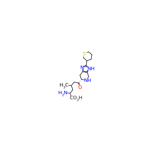 CC(CC(=O)[C@@H]1Cc2nc(C3CCCSC3)[nH]c2CN1)C[C@H](N)C(=O)O